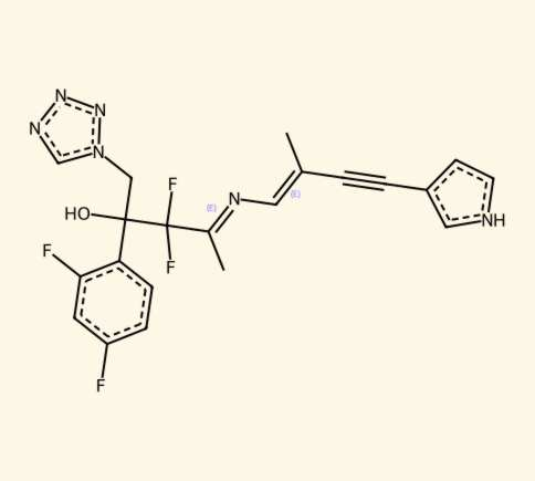 C/C(C#Cc1cc[nH]c1)=C\N=C(/C)C(F)(F)C(O)(Cn1cnnn1)c1ccc(F)cc1F